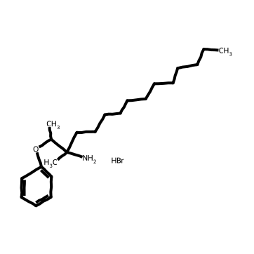 Br.CCCCCCCCCCCCC(C)(N)C(C)Oc1ccccc1